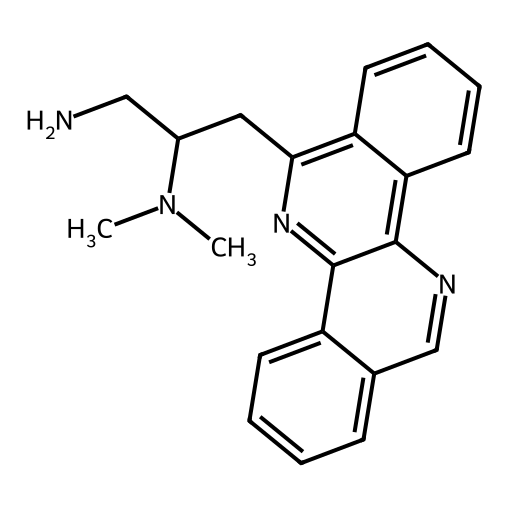 CN(C)C(CN)Cc1nc2c3ccccc3cnc2c2ccccc12